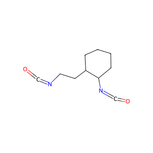 O=C=NCCC1CCCCC1N=C=O